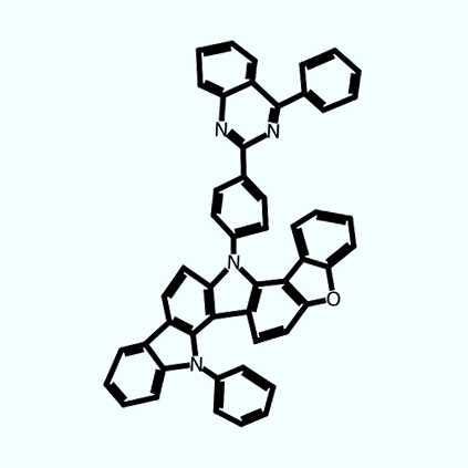 c1ccc(-c2nc(-c3ccc(-n4c5ccc6c7ccccc7n(-c7ccccc7)c6c5c5ccc6oc7ccccc7c6c54)cc3)nc3ccccc23)cc1